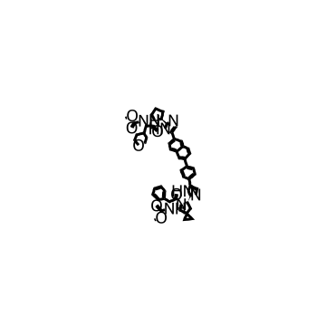 COC(=O)N[C@H](C(=O)N1CCC[C@H]1c1ncc(-c2ccc3cc(-c4ccc(-c5cnc([C@@H]6CC7(CC7)CN6C(=O)[C@H](NC(=O)OC)c6ccccc6)[nH]5)cc4)ccc3c2)[nH]1)C1CCOCC1